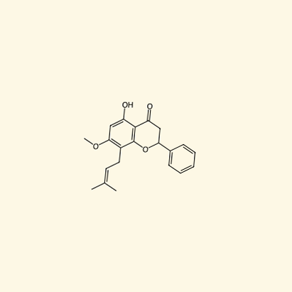 COc1cc(O)c2c(c1CC=C(C)C)OC(c1ccccc1)CC2=O